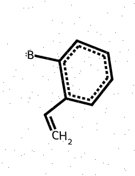 [B]c1ccccc1C=C